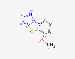 COc1cccc2c1sc1ncnn12